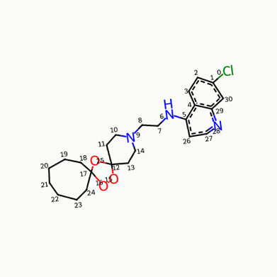 Clc1ccc2c(NCCN3CCC4(CC3)OOC3(CCCCCCC3)O4)ccnc2c1